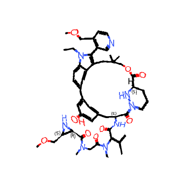 CCn1c(-c2cnccc2COC)c2c3cc(ccc31)-c1cc(O)cc(c1)C[C@H](NC(=O)C(C(C)C)N(C)C(=O)CN(C)C(=O)[C@@H]1N[C@@H]1COC)C(=O)N1CCC[C@H](N1)C(=O)OCC(C)(C)C2